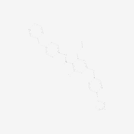 CCOc1nc(Nc2ccc(-c3cnco3)cc2)cc(N)c1C(=O)Nc1ccc(Oc2ccccc2)cc1